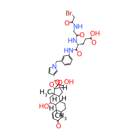 C[C@]12C=CC(=O)C=C1CC[C@@H]1[C@@H]2[C@@H](O)C[C@@]2(C)[C@H]1C[C@H]1O[C@@H](c3ccn(Cc4cccc(NC(=O)[C@H](CCC(=O)O)NC(=O)CNC(=O)CBr)c4)c3)O[C@]12C(=O)CO